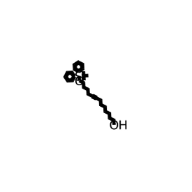 CC(C)(C)[Si](OCCCCC#CCCCCCCCO)(c1ccccc1)c1ccccc1